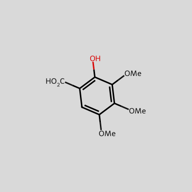 COc1cc(C(=O)O)c(O)c(OC)c1OC